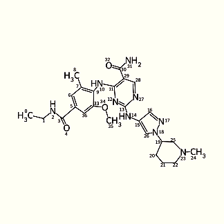 CCNC(=O)c1cc(C)c(Nc2nc(Nc3cnn(C4CCCN(C)C4)c3)ncc2C(N)=O)c(OC)c1